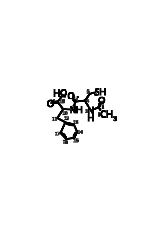 CC(=O)NC(CS)C(=O)NC(Cc1ccccc1)C(=O)O